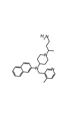 Cc1ccncc1CN(c1ccc2ccccc2c1)C1CCN(C(C)CCN)CC1